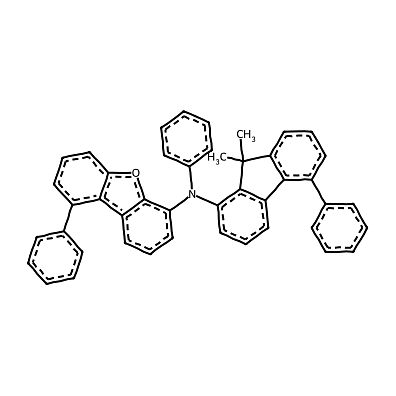 CC1(C)c2cccc(-c3ccccc3)c2-c2cccc(N(c3ccccc3)c3cccc4c3oc3cccc(-c5ccccc5)c34)c21